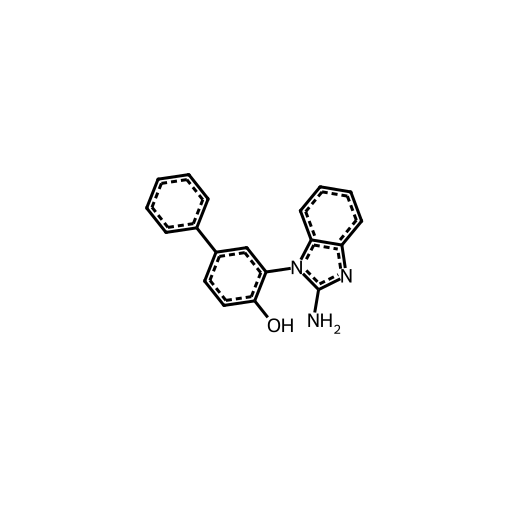 Nc1nc2ccccc2n1-c1cc(-c2ccccc2)ccc1O